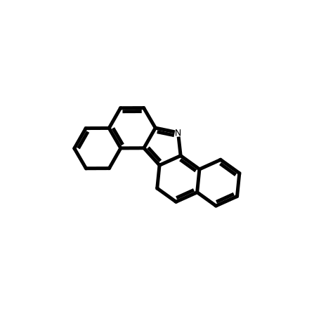 C1=Cc2ccc3c(c2CC1)=C1CC=c2ccccc2=C1N=3